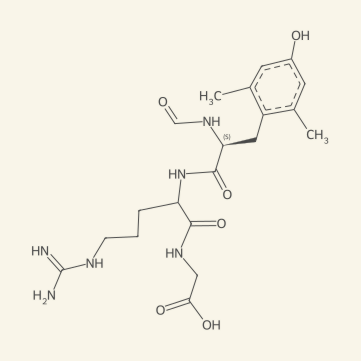 Cc1cc(O)cc(C)c1C[C@H](NC=O)C(=O)NC(CCCNC(=N)N)C(=O)NCC(=O)O